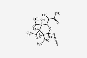 CC(=O)C(O)[C@H]1O[C@](O)(N=C=S)[C@@](O)(C(C)=O)[C@](O)(C(C)=O)[C@@]1(O)C(C)=O